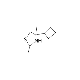 CC1NC(C)(C2CCC2)CS1